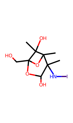 CC1(NI)C(O)OC2(CO)OC1(C)C2(C)O